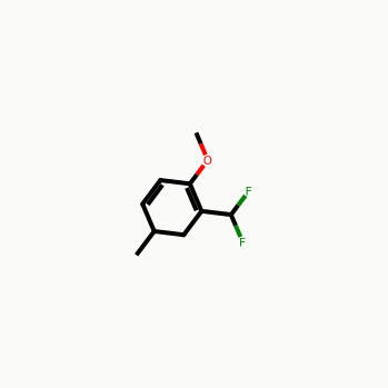 COC1=C(C(F)F)C[C](C)C=C1